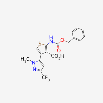 Cn1nc(C(F)(F)F)cc1-c1csc(NC(=O)OCc2ccccc2)c1C(=O)O